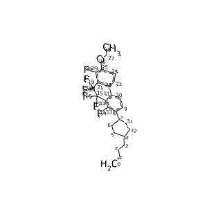 C=CCCC1CCC(c2ccc3c(c2F)C(F)(F)C(F)(F)c2c-3ccc(OCC)c2F)CC1